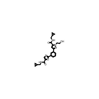 O=C(NCC1CC1)c1cnc(-c2cccc(-c3cc(C(=O)NCC4CC4)n(CCO)n3)c2)o1